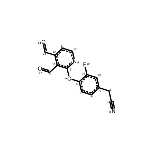 N#CCc1ccc(Oc2nccc(C=O)c2C=O)c(F)c1